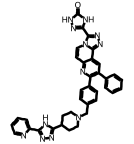 O=c1[nH]nc(-c2nnc3c4cc(-c5ccccc5)c(-c5ccc(CN6CCC(c7nnc(-c8ccccn8)[nH]7)CC6)cc5)nc4ccn23)[nH]1